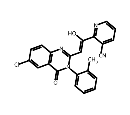 Cc1ccccc1-n1c(/C=C(\O)c2ncccc2C#N)nc2ccc(Cl)cc2c1=O